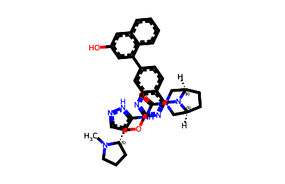 CN1CCC[C@H]1COc1nc(N2[C@@H]3CC[C@H]2CN(C(=O)Nc2ccn[nH]2)C3)c2ccc(-c3cc(O)cc4ccccc34)cc2n1